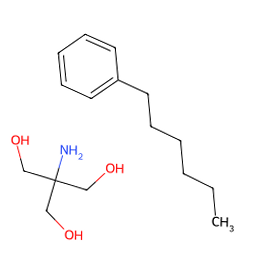 CCCCCCc1ccccc1.NC(CO)(CO)CO